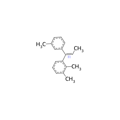 C/C=C(\c1cccc(C)c1)c1cccc(C)c1C